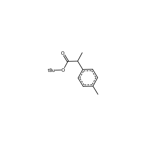 Cc1ccc(C(C)C(=O)OC(C)(C)C)cc1